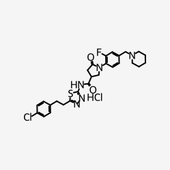 Cl.O=C(Nc1nnc(CCc2ccc(Cl)cc2)s1)C1CC(=O)N(c2ccc(CN3CCCCC3)cc2F)C1